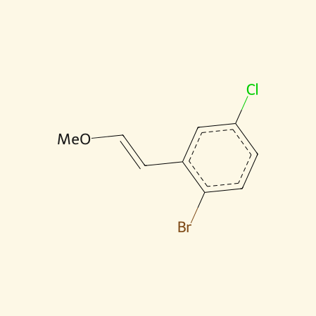 COC=Cc1cc(Cl)ccc1Br